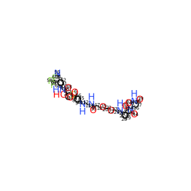 CC(O)(CS(=O)(=O)c1ccc(NCCNC(=O)CCOCCOCCNc2cccc3c2C(=O)N(C2CCC(=O)NC2=O)C3=O)cc1)C(=O)Nc1ccc(C#N)c(C(F)(F)F)c1